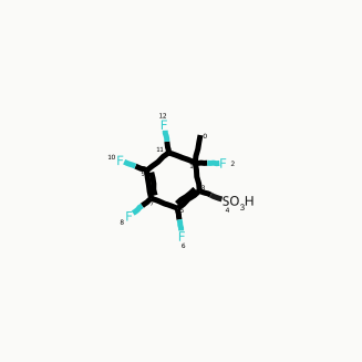 CC1(F)C(S(=O)(=O)O)=C(F)C(F)=C(F)C1F